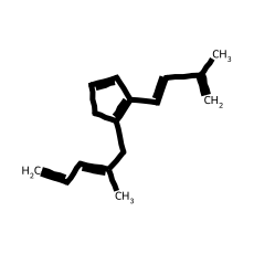 C=CC=C(C)CC1=C(C=CC(=C)C)C=CC1